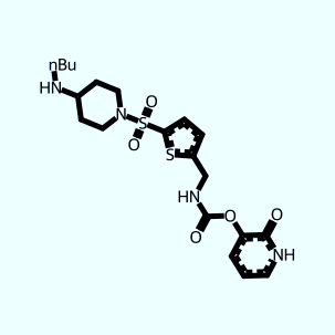 CCCCNC1CCN(S(=O)(=O)c2ccc(CNC(=O)Oc3ccc[nH]c3=O)s2)CC1